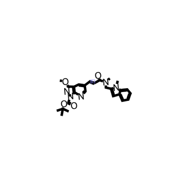 COc1nn(C(=O)OC(C)(C)C)c2ncc(/C=C/C(=O)N(C)Cc3cc4ccccc4n3C)cc12